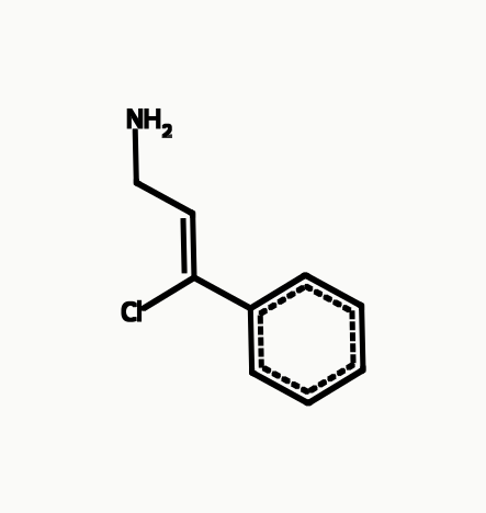 NC/C=C(\Cl)c1ccccc1